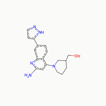 Nc1cc(N2CCCC(CO)C2)c2ccc(-c3ccn[nH]3)cc2n1